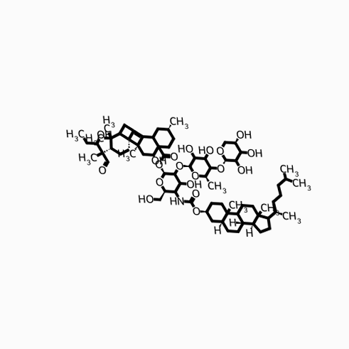 CCC(O)C(C)(C=O)[C@H]1CC[C@]23C(=C4C5C[C@H](C)CCC5(C(=O)O[C@@H]5O[C@H](CO)C(NC(=O)O[C@H]6CCC7(C)C8CCC9(C)C([C@H](C)CCCC(C)C)CC[C@H]9[C@@H]8CC[C@H]7C6)C(O)C5O[C@@H]5O[C@H](C)C(O[C@@H]6OC[C@@H](O)C(O)C6O)C(O)C5O)[C@H](O)C[C@]42C)CC3C1(C)C